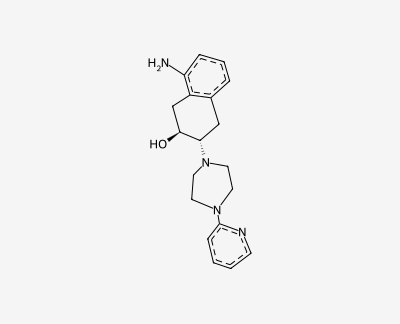 Nc1cccc2c1C[C@H](O)[C@@H](N1CCN(c3ccccn3)CC1)C2